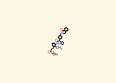 Cc1c(CCC(=O)OC(C)(C)C)cccc1NC(=O)C(c1ccc(Cn2ccc3ccccc3c2=O)cc1)C1CCCC1